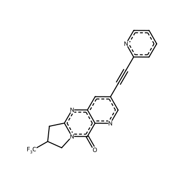 O=c1c2ncc(C#Cc3ccccn3)cc2nc2n1CC(C(F)(F)F)C2